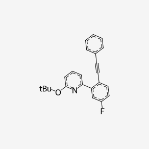 CC(C)(C)Oc1cccc(-c2cc(F)ccc2C#Cc2ccccc2)n1